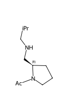 CC(=O)N1CCC[C@@H]1CNCC(C)C